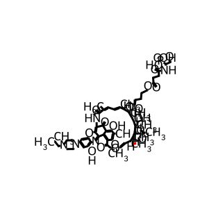 CC(=O)O[C@H]1[C@H](C)[C@H](O)[C@H](C)[C@@H](OC(=O)CCCCOC(=O)CCC(=O)NC(C=O)P(=O)(O)O)[C@@H](C)/C=C/C=C(/C)C(=O)Nc2c3oc4cc(N5CCN(CC(C)C)CC5)cc(O)c4nc-3c3c4c(c(C)c(O)c3c2=O)O[C@](C)(O/C=C/[C@H](C)[C@H]1C)C4=O